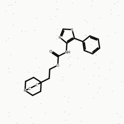 O=C(Nc1ncsc1-c1ccccc1)OCCC12CCN(CC1)CC2